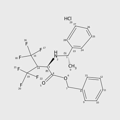 C[C@H](N[C@@H](C(=O)OCc1ccccc1)C(C(F)(F)F)C(F)(F)F)c1ccccc1.Cl